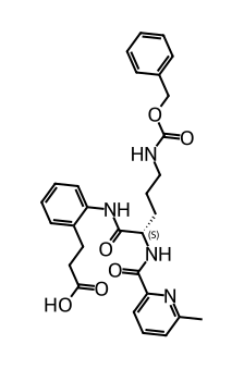 Cc1cccc(C(=O)N[C@@H](CCCNC(=O)OCc2ccccc2)C(=O)Nc2ccccc2CCC(=O)O)n1